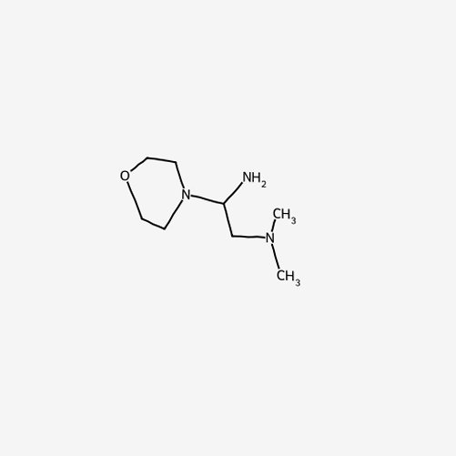 CN(C)CC(N)N1CCOCC1